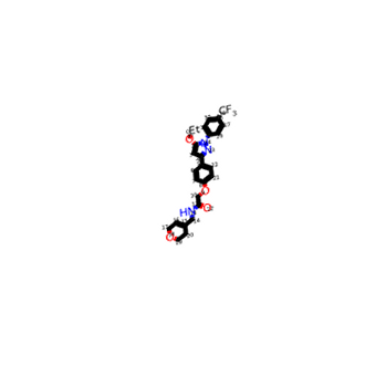 CCOc1cc(-c2ccc(OCC(=O)NCC3=CCOCC3)cc2)nn1-c1ccc(C(F)(F)F)cc1